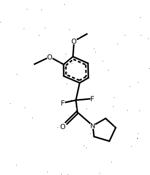 COc1ccc(C(F)(F)C(=O)N2CCCC2)cc1OC